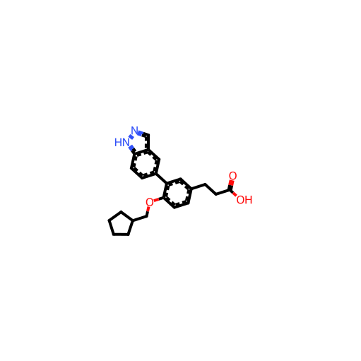 O=C(O)CCc1ccc(OCC2CCCC2)c(-c2ccc3[nH]ncc3c2)c1